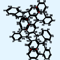 c1ccc(-c2ccccc2B2c3ccccc3N3c4cc5c(cc4B(c4ccccc4-c4ccccc4)c4cccc2c43)-n2c3c(cccc3n3c4ccccc4nc23)B5c2ccccc2-c2ccccc2)cc1